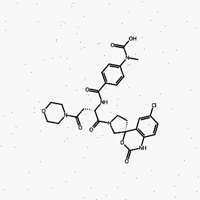 CN(C(=O)O)c1ccc(C(=O)N[C@@H](CC(=O)N2CCOCC2)C(=O)N2CC[C@@]3(C2)OC(=O)Nc2ccc(Cl)cc23)cc1